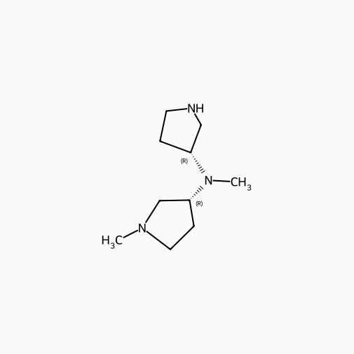 CN1CC[C@@H](N(C)[C@@H]2CCNC2)C1